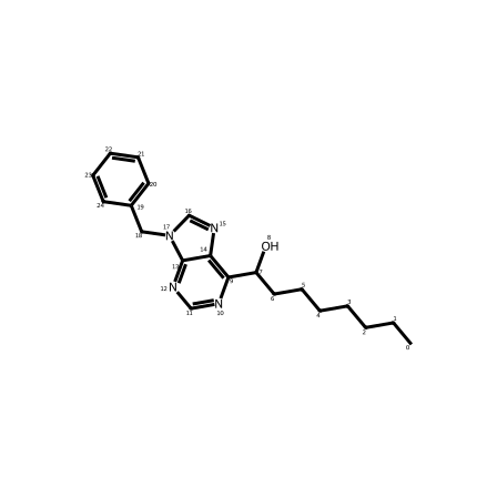 CCCCCCCC(O)c1ncnc2c1ncn2Cc1ccccc1